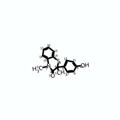 CN1C(=O)C(C)(c2ccc(O)cc2)Sc2ccccc21